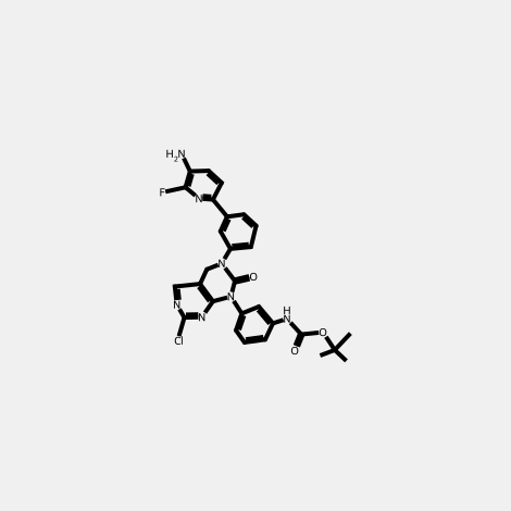 CC(C)(C)OC(=O)Nc1cccc(N2C(=O)N(c3cccc(-c4ccc(N)c(F)n4)c3)Cc3cnc(Cl)nc32)c1